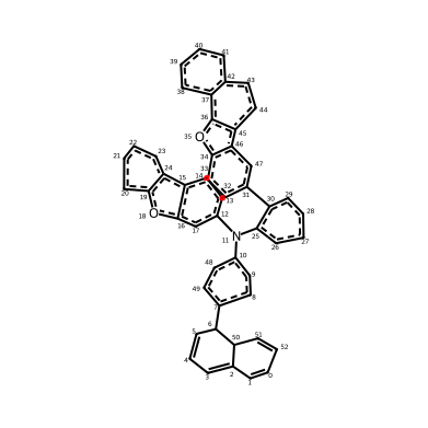 C1=CC2=CC=CC(c3ccc(N(c4ccc5c(c4)oc4ccccc45)c4ccccc4-c4ccc5oc6c7ccccc7ccc6c5c4)cc3)C2C=C1